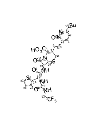 CC(C)(C)c1ccc(SCC2=C(C(=O)O)N3C(=O)[C@H](NC(=O)C(NC(=O)NCC(F)(F)F)c4cccs4)C3SC2)[n+]([O-])n1